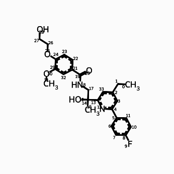 CCc1cc(-c2ccc(F)cc2)nc(C(C)(O)CNC(=O)c2ccc(OCCO)c(OC)c2)c1